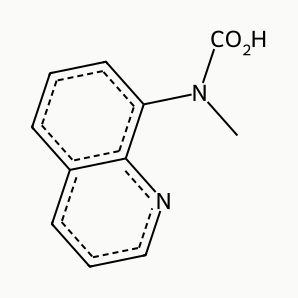 CN(C(=O)O)c1cccc2cccnc12